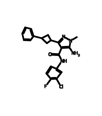 Cn1nc(C2CC(c3ccccc3)C2)c(C(=O)Nc2ccc(F)c(Cl)c2)c1N